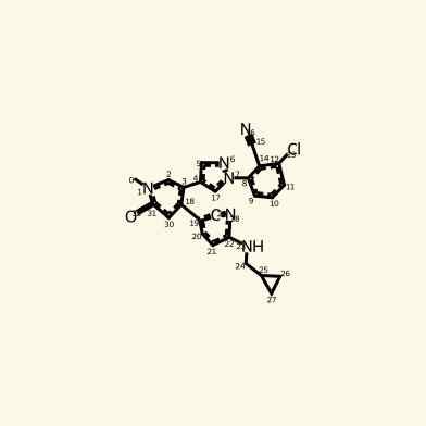 Cn1cc(-c2cnn(-c3cccc(Cl)c3C#N)c2)c(-c2ccc(NCC3CC3)nc2)cc1=O